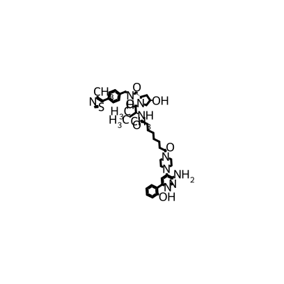 Cc1ncsc1-c1ccc(CNC(=O)[C@@H]2C[C@@H](O)CN2C(=O)[C@@H](NC(=O)CCCCCCC(=O)N2CCN(c3cc(-c4ccccc4O)nnc3N)CC2)C(C)(C)C)cc1